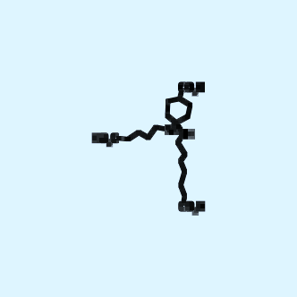 O=C(O)CCCCCCNC1(NCCCCC(=O)O)CCC(C(=O)O)CC1